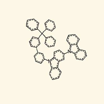 c1ccc(C(c2ccccc2)(c2ccccc2)c2cccc(-c3cccc(-n4c5ccccc5c5cc(-n6c7ccccc7c7ccccc76)ccc54)c3)c2)cc1